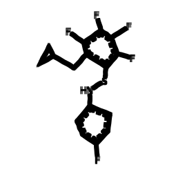 Fc1ccc(NSc2c(F)c(F)c(F)c(F)c2CC2CC2)cc1